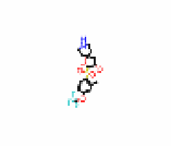 Cc1cc(OC(F)(F)F)ccc1S(=O)(=O)C1OC2(CCNCC2)CC1=O